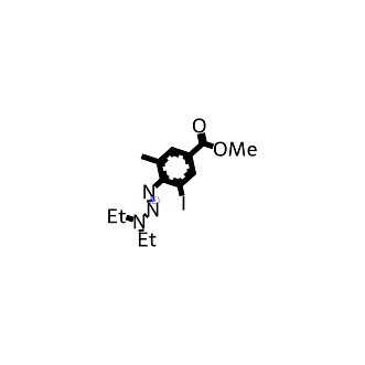 CCN(CC)/N=N/c1c(C)cc(C(=O)OC)cc1I